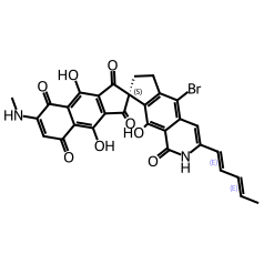 C/C=C/C=C/c1cc2c(Br)c3c(c(O)c2c(=O)[nH]1)[C@@]1(CC3)C(=O)c2c(O)c3c(c(O)c2C1=O)C(=O)C(NC)=CC3=O